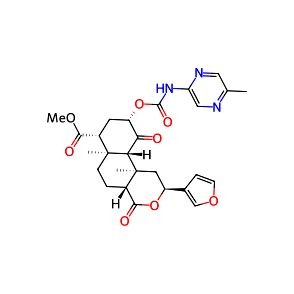 COC(=O)[C@@H]1C[C@H](OC(=O)Nc2cnc(C)cn2)C(=O)[C@H]2[C@@]1(C)CC[C@H]1C(=O)O[C@H](c3ccoc3)C[C@]21C